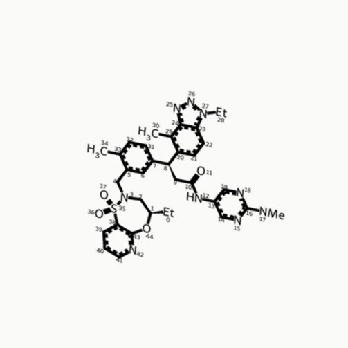 CC[C@@H]1CN(Cc2cc([C@H](CC(=O)Nc3cnc(NC)nc3)c3ccc4c(nnn4CC)c3C)ccc2C)S(=O)(=O)c2cccnc2O1